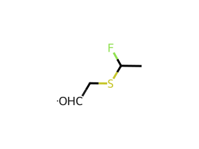 CC(F)SC[C]=O